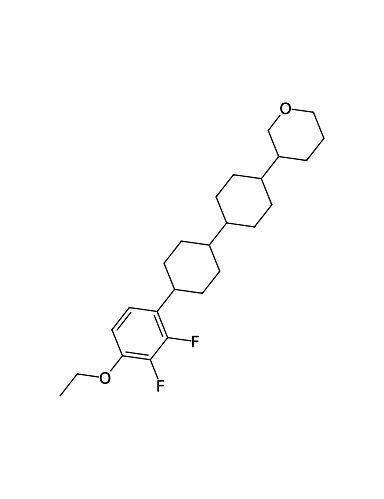 CCOc1ccc(C2CCC(C3CCC(C4CCCOC4)CC3)CC2)c(F)c1F